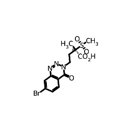 C[C@@](CCn1nnc2cc(Br)ccc2c1=O)(C(=O)O)S(C)(=O)=O